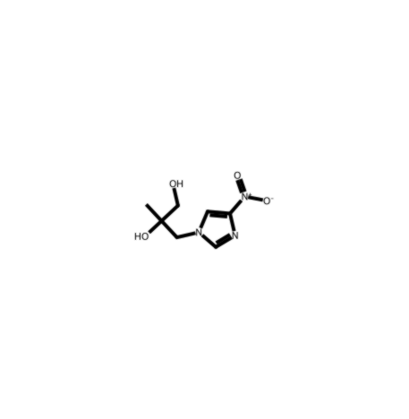 CC(O)(CO)Cn1cnc([N+](=O)[O-])c1